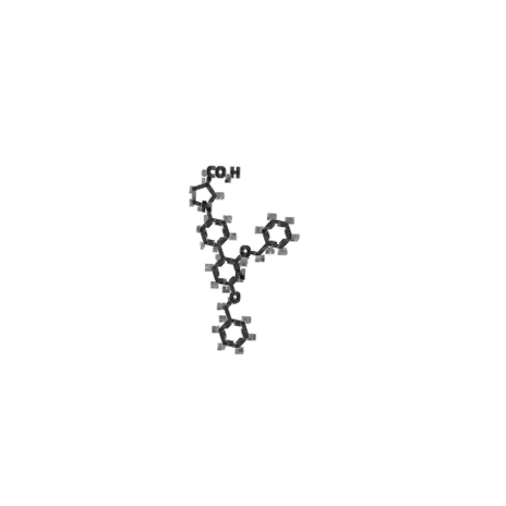 O=C(O)[C@@H]1CCN(c2ccc(-c3ccc(OCc4ccccc4)nc3OCc3ccccc3)cc2)C1